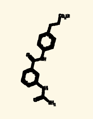 CCOC(=O)CCc1ccc(NC(=O)c2cccc(NC(N)=O)c2)cc1